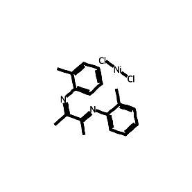 CC(=Nc1ccccc1C)C(C)=Nc1ccccc1C.[Cl][Ni][Cl]